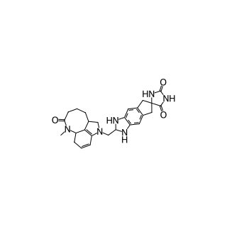 CN1C(=O)CCCC2CN(CC3Nc4cc5c(cc4N3)CC3(C5)NC(=O)NC3=O)C3=C2C1CC=C3